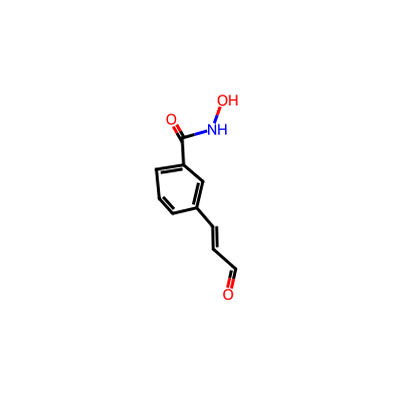 O=CC=Cc1cccc(C(=O)NO)c1